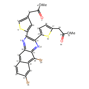 COC(=O)Cc1csc(-c2nc3cc4ccc(Br)cc4c(Br)c3nc2-c2ccc(CC(=O)OC)s2)c1